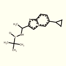 CC(N[S+]([O-])C(C)(C)C)c1cn2cc(C3CC3)ccc2n1